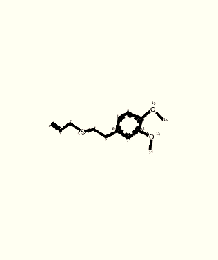 C=CCSCCc1ccc(OC)c(OC)c1